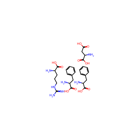 N=C(N)NCCCC(N)C(=O)O.NC(CC(=O)O)C(=O)O.NC(Cc1ccccc1)C(=O)O.NC(Cc1ccccc1)C(=O)O